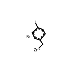 [Br-].[Zn+][CH2]c1ccc(I)cc1